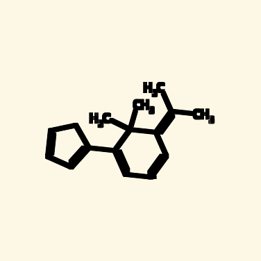 CC(C)=C1C=[C]C=C(C2=CC=CC2)C1(C)C